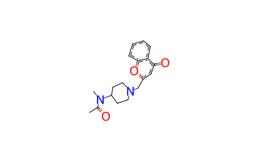 CC(=O)N(C)C1CCN(Cc2cc(=O)c3ccccc3o2)CC1